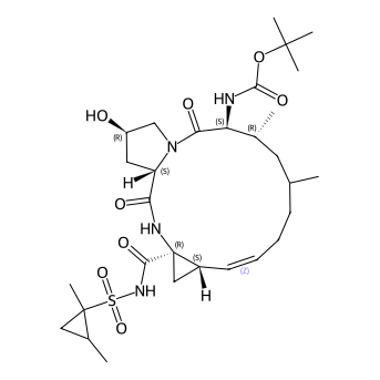 CC1CC/C=C\[C@@H]2C[C@@]2(C(=O)NS(=O)(=O)C2(C)CC2C)NC(=O)[C@@H]2C[C@@H](O)CN2C(=O)[C@@H](NC(=O)OC(C)(C)C)[C@H](C)C1